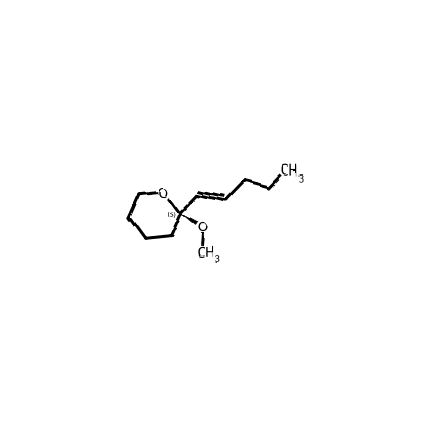 CCCC=C[C@]1(OC)CCCCO1